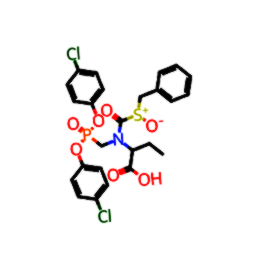 CCC(C(=O)O)N(CP(=O)(Oc1ccc(Cl)cc1)Oc1ccc(Cl)cc1)C(=O)[S+]([O-])Cc1ccccc1